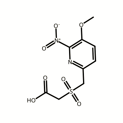 COc1ccc(CS(=O)(=O)CC(=O)O)nc1[N+](=O)[O-]